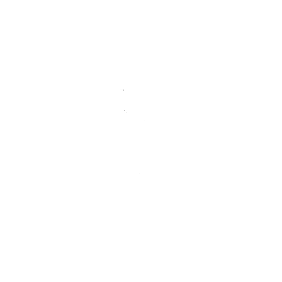 NC(=O)c1ccccc1C1CCCCC1=O